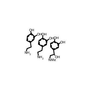 CNC[C@H](O)c1ccc(O)c(O)c1.NCCc1ccc(O)c(O)c1.NCCc1ccc(O)c(O)c1